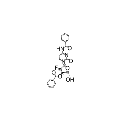 O=C(Nc1ccn([C@@H]2O[C@H](CO)[C@@H](OC(=O)c3ccccc3)[C@H]2F)c(=O)n1)c1ccccc1